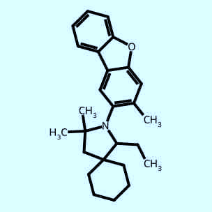 CCC1N(c2cc3c(cc2C)oc2ccccc23)C(C)(C)CC12CCCCC2